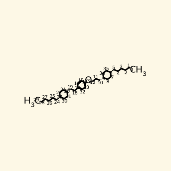 CCCCCC[C@H]1CC[C@H](CCCOc2ccc(CC[C@H]3CC[C@H](CCCCCC)CC3)cc2)CC1